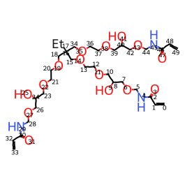 C=CC(=O)NCOCC(O)COCCOCC(CC)(COCCOCC(O)COCNC(=O)C=C)COCCOCC(O)COCNC(=O)C=C